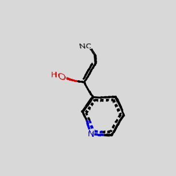 N#CC=C(O)c1cccnc1